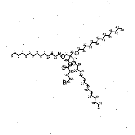 CCCCCCCCCCCCCCOCC(COCCCCCCCCCCCCCC)(COCCCCCCCCCCCCCC)COC(=O)CCCBr